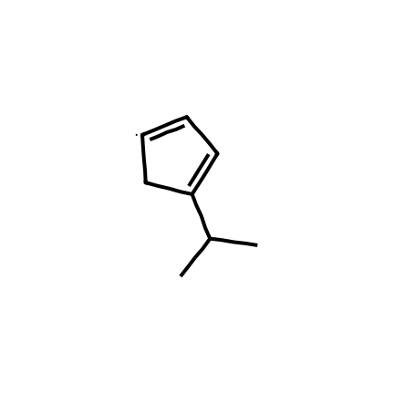 CC(C)C1=CC=[C]C1